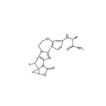 C[C@H](Nc1ccc2c(c1)OCCn1cc(N3C(=O)OC4CC43C(F)F)nc1-2)C(N)=O